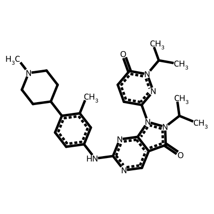 Cc1cc(Nc2ncc3c(=O)n(C(C)C)n(-c4ccc(=O)n(C(C)C)n4)c3n2)ccc1C1CCN(C)CC1